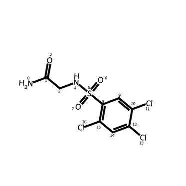 NC(=O)CNS(=O)(=O)c1cc(Cl)c(Cl)cc1Cl